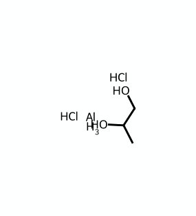 CC(O)CO.Cl.Cl.[AlH3]